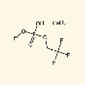 O=P(O)(OF)OCC(F)(F)F.[CaH2]